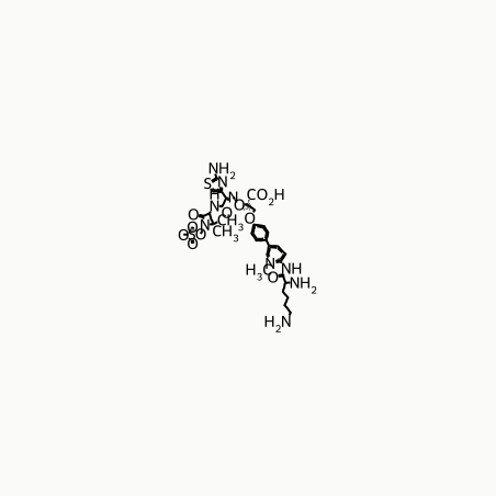 C[n+]1cc(-c2ccc(OC[C@H](ON=C(C(=O)NC3C(=O)N(OS(=O)(=O)[O-])C3(C)C)c3csc(N)n3)C(=O)O)cc2)ccc1NC(=O)C(N)CCCCN